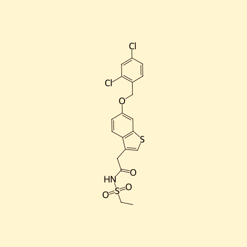 CCS(=O)(=O)NC(=O)Cc1csc2cc(OCc3ccc(Cl)cc3Cl)ccc12